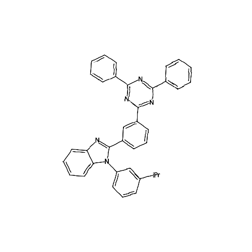 CC(C)c1cccc(-n2c(-c3cccc(-c4nc(-c5ccccc5)nc(-c5ccccc5)n4)c3)nc3ccccc32)c1